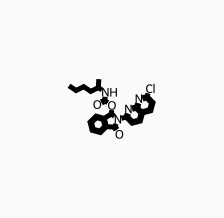 CCCCC(C)NC(=O)OC1c2ccccc2C(=O)N1c1ccc2ccc(Cl)nc2n1